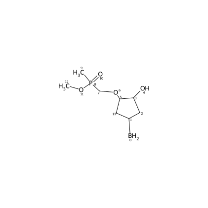 BC1CC(O)C(OCP(C)(=O)OC)C1